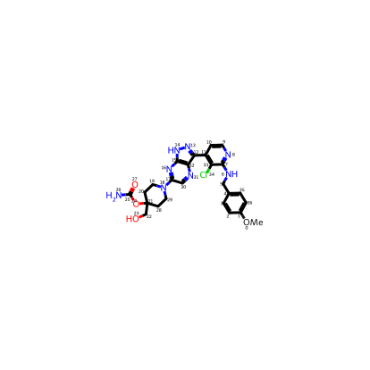 COc1ccc(CNc2nccc(-c3n[nH]c4nc(N5CCC(CO)(OC(N)=O)CC5)cnc34)c2Cl)cc1